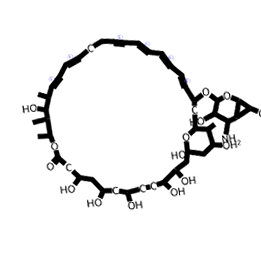 CC1/C=C/C=C/CC/C=C/C=C/C=C/C=C/C(OC2OC3C(O)C3C(N)C2O)CC2OC(O)(CC(O)C(O)CCC(O)CC(O)CC(O)CC(=O)OC(C)C(C)C1O)CC(O)C2C